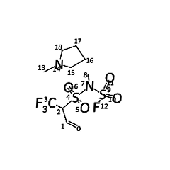 C=CC(C(F)(F)F)S(=O)(=O)N(C)S(=O)(=O)F.CN1CCCC1